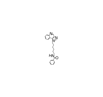 O=C(NCCCCCCn1cnc2cnc3ccccc3c21)c1ccccc1